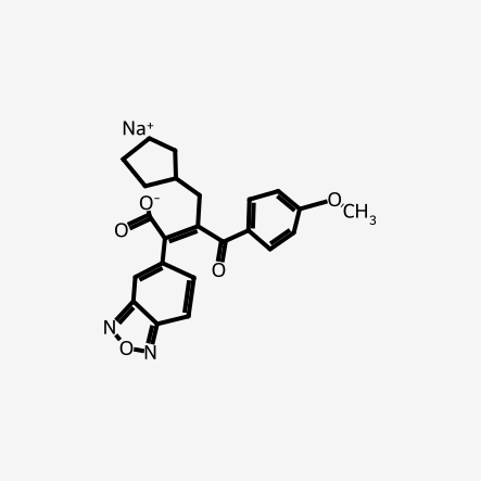 COc1ccc(C(=O)C(CC2CCCC2)=C(C(=O)[O-])c2ccc3nonc3c2)cc1.[Na+]